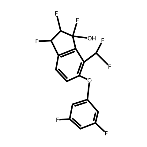 OC1(F)c2c(ccc(Oc3cc(F)cc(F)c3)c2C(F)F)C(F)C1F